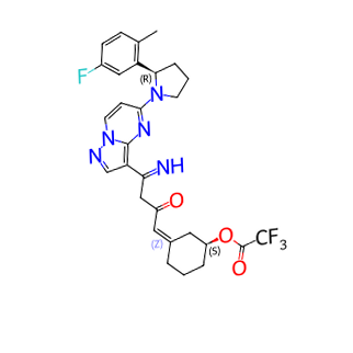 Cc1ccc(F)cc1[C@H]1CCCN1c1ccn2ncc(C(=N)CC(=O)/C=C3/CCC[C@H](OC(=O)C(F)(F)F)C3)c2n1